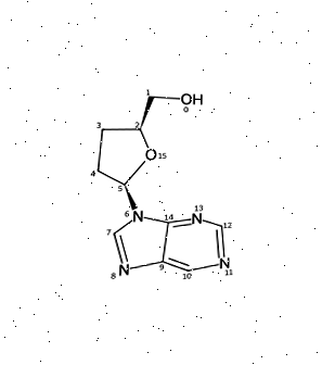 OC[C@@H]1CC[C@H](n2cnc3cncnc32)O1